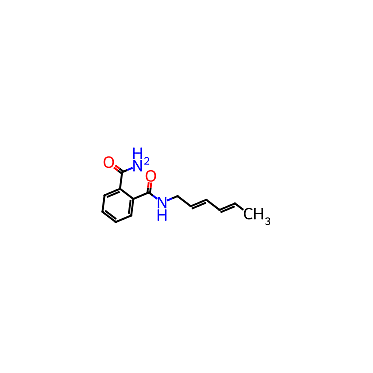 C/C=C/C=C/CNC(=O)c1ccccc1C(N)=O